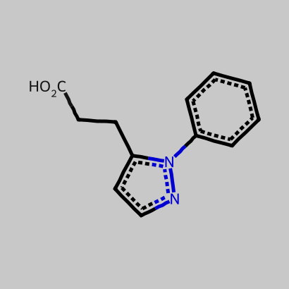 O=C(O)CCc1ccnn1-c1ccccc1